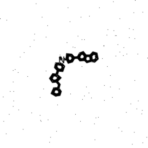 CN(c1ccc(-c2cccc(Cc3ccccc3)c2)cc1)c1ccc(-c2ccc3c(c2)Cc2ccccc2-3)cc1